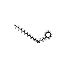 CCCCCCCCCCCCCCC/N=N\CCCSC1CCCCCCC1